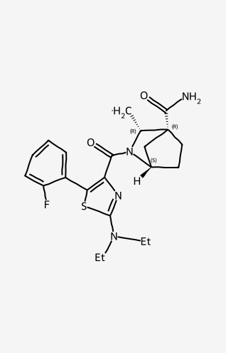 [CH2][C@H]1N(C(=O)c2nc(N(CC)CC)sc2-c2ccccc2F)[C@H]2CC[C@@]1(C(N)=O)C2